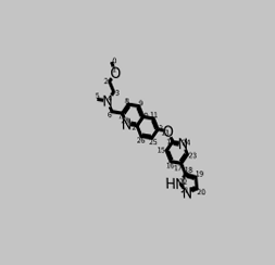 COCCN(C)Cc1ccc2cc(Oc3ccc(-c4ccn[nH]4)cn3)ccc2n1